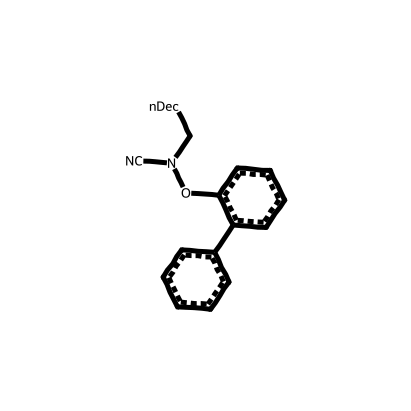 CCCCCCCCCCCN(C#N)Oc1ccccc1-c1ccccc1